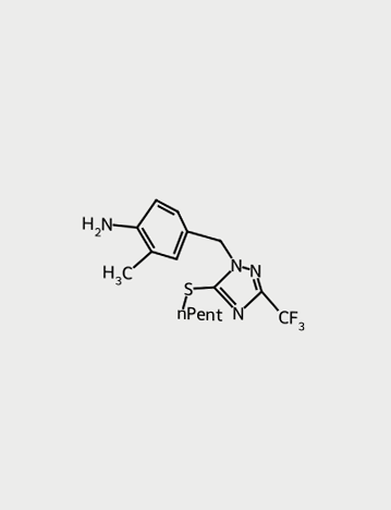 CCCCCSc1nc(C(F)(F)F)nn1Cc1ccc(N)c(C)c1